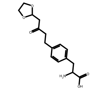 NC(Cc1ccc(CCC(=O)CC2OCCO2)cc1)C(=O)O